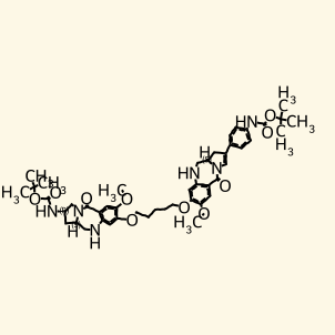 COc1cc2c(cc1OCCCCCOc1cc3c(cc1OC)C(=O)N1C[C@H](NC(=O)OC(C)(C)C)C[C@H]1CN3)NC[C@@H]1CC(c3ccc(NC(=O)OC(C)(C)C)cc3)=CN1C2=O